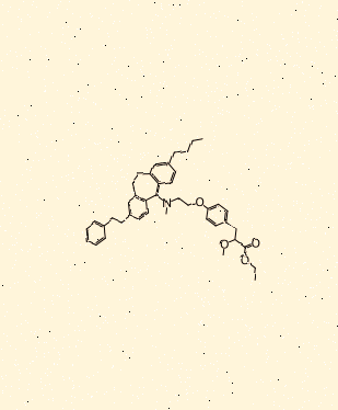 CCCCc1ccc2c(c1)CCc1cc(CCc3ccccc3)ccc1C2N(C)CCOc1ccc(CC(OC)C(=O)OCC)cc1